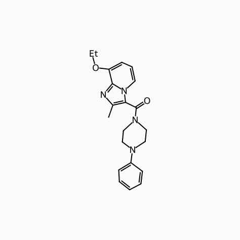 CCOc1cccn2c(C(=O)N3CCN(c4ccccc4)CC3)c(C)nc12